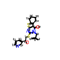 C=C(C)Cn1c(SCC(=O)c2cccnc2)nc2sc3c(c2c1=O)CCCC3